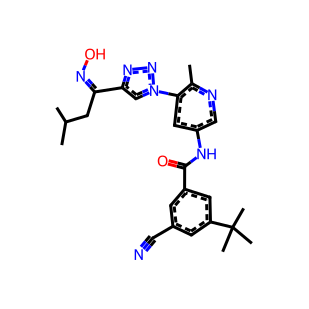 Cc1ncc(NC(=O)c2cc(C#N)cc(C(C)(C)C)c2)cc1-n1cc(/C(CC(C)C)=N\O)nn1